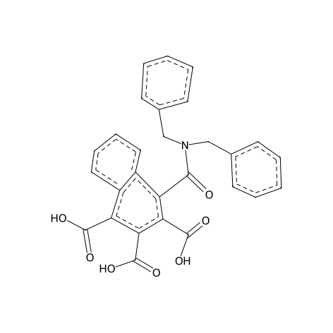 O=C(O)c1c(C(=O)O)c(C(=O)N(Cc2ccccc2)Cc2ccccc2)c2ccccc2c1C(=O)O